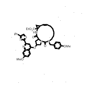 CCOC(=O)C12CC1C=CCCCCCN(Cc1ccc(OC)cc1)C(=O)N1CC(Oc3cc(-c4nc(C(C)C)cs4)nc4cc(OC)ccc34)CC1C(=O)N2